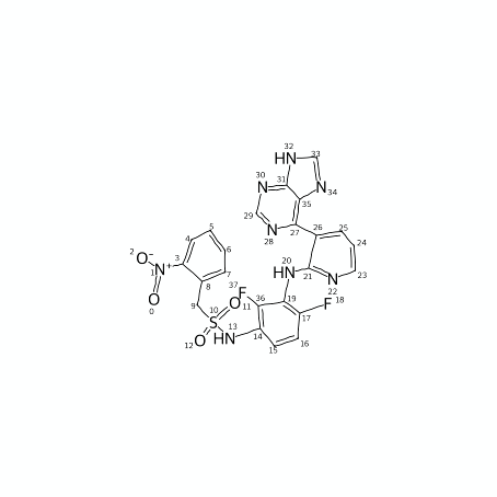 O=[N+]([O-])c1ccccc1CS(=O)(=O)Nc1ccc(F)c(Nc2ncccc2-c2ncnc3[nH]cnc23)c1F